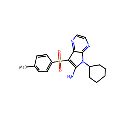 COc1ccc(S(=O)(=O)c2c(N)n(C3CCCCC3)c3nccnc23)cc1